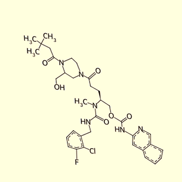 CN(C(=O)NCc1cccc(F)c1Cl)[C@@H](CCC(=O)N1CCN(C(=O)CC(C)(C)C)C(CO)C1)COC(=O)Nc1cc2ccccc2cn1